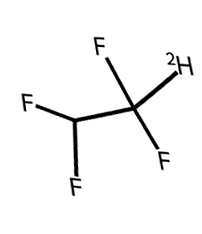 [2H]C(F)(F)C(F)F